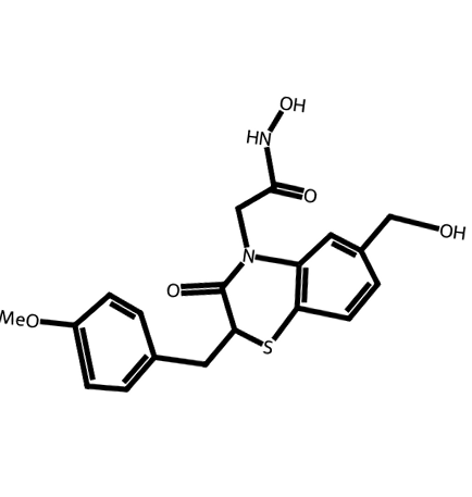 COc1ccc(CC2Sc3ccc(CO)cc3N(CC(=O)NO)C2=O)cc1